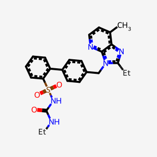 CCNC(=O)NS(=O)(=O)c1ccccc1-c1ccc(Cn2c(CC)nc3c(C)ccnc32)cc1